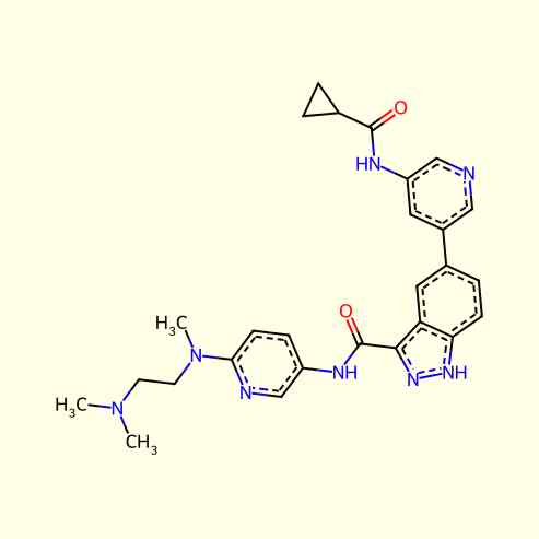 CN(C)CCN(C)c1ccc(NC(=O)c2n[nH]c3ccc(-c4cncc(NC(=O)C5CC5)c4)cc23)cn1